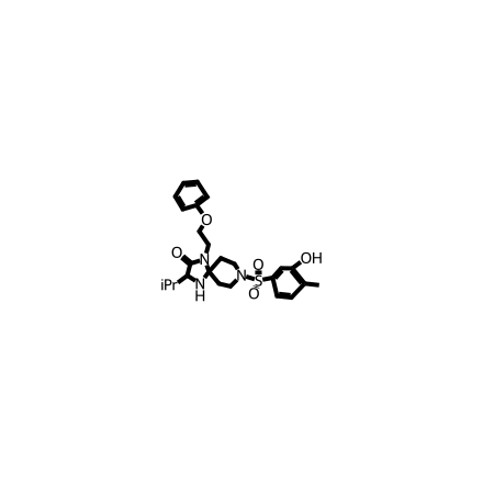 Cc1ccc(S(=O)(=O)N2CCC3(CC2)NC(C(C)C)C(=O)N3CCOc2ccccc2)cc1O